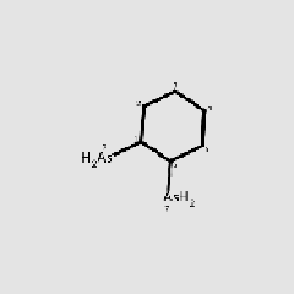 [AsH2]C1CCCCC1[AsH2]